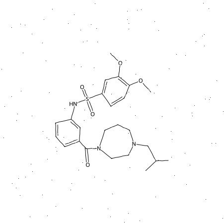 COc1ccc(S(=O)(=O)Nc2cccc(C(=O)N3CCCN(CC(C)C)CC3)c2)cc1OC